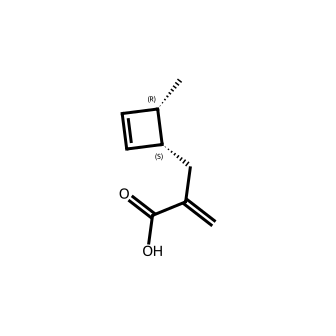 C=C(C[C@@H]1C=C[C@@H]1C)C(=O)O